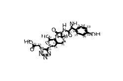 NC(C(=O)N[C@@H]1C(=O)N2C(C(=O)O)=C(CSc3nnnn3CC(=O)O)CS[C@@H]12)c1ccc(O)cc1